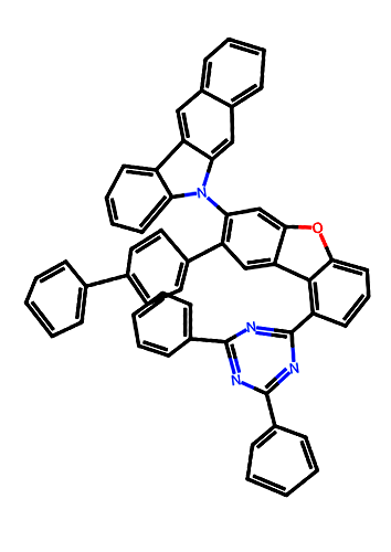 c1ccc(-c2ccc(-c3cc4c(cc3-n3c5ccccc5c5cc6ccccc6cc53)oc3cccc(-c5nc(-c6ccccc6)nc(-c6ccccc6)n5)c34)cc2)cc1